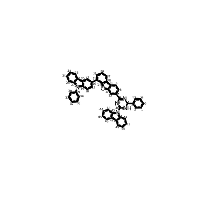 c1ccc(C2N=C(c3ccc4c(c3)oc3c(-c5ccc6c(c5)c5ccccc5n6-c5ccccc5)cccc34)N=C(n3c4ccccc4c4ccccc43)N2)cc1